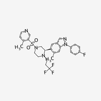 Cc1cc2c(cnn2-c2ccc(F)cc2)cc1[C@@H]1CN(S(=O)(=O)c2cnccc2C)CCN1CCC(F)(F)F